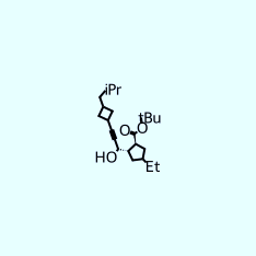 CCC1C[C@H](C(=O)OC(C)(C)C)[C@@H](C(O)C#CC2CC(CC(C)C)C2)C1